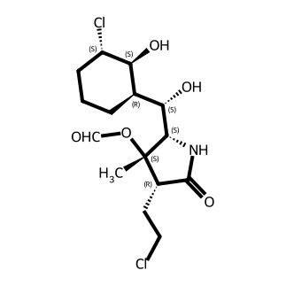 C[C@]1(OC=O)[C@@H](CCCl)C(=O)N[C@H]1[C@@H](O)[C@H]1CCC[C@H](Cl)[C@H]1O